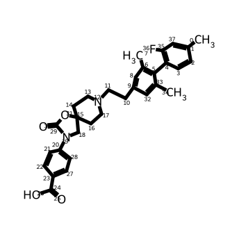 Cc1ccc(-c2c(C)cc(CCN3CCC4(CC3)CN(c3ccc(C(=O)O)cc3)C(=O)O4)cc2C)c(F)c1